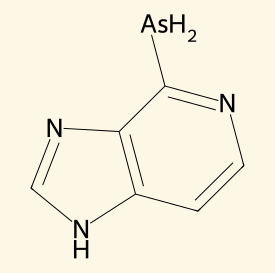 [AsH2]c1nccc2[nH]cnc12